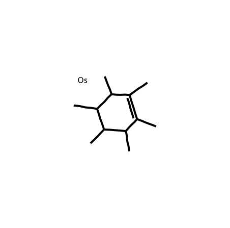 CC1=C(C)C(C)C(C)C(C)C1C.[Os]